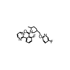 CC1CCC(COc2ccc(F)cn2)CN1C(=O)c1c(F)cccc1-c1ncccn1